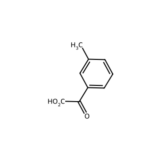 Cc1cccc(C(=O)C(=O)O)c1